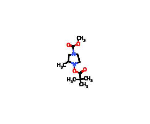 COC(=O)N1CCN(OC(=O)C(C)(C)C)C(C)C1